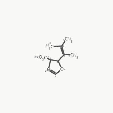 CCOC(=O)C1N=COC1C(C)=C(C)C